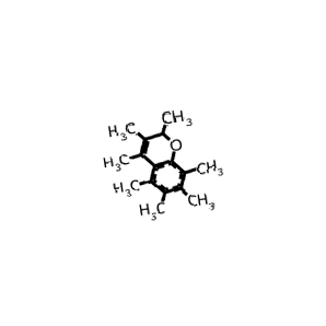 CC1=C(C)C(C)Oc2c(C)c(C)c(C)c(C)c21